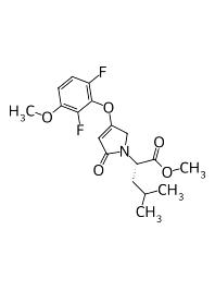 COC(=O)[C@H](CC(C)C)N1CC(Oc2c(F)ccc(OC)c2F)=CC1=O